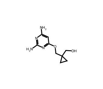 Nc1cc(OCC2(CO)CC2)nc(N)n1